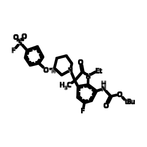 CCN1C(=O)C(C)(N2CCC[C@@H](Oc3ccc(S(=O)(=O)F)cc3)C2)c2cc(F)cc(NC(=O)OC(C)(C)C)c21